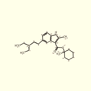 CCN(CC)CCc1ccc2[nH]c(C)c(C(=O)OC3(C)CCCCC3)c2c1